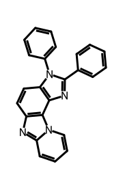 c1ccc(-c2nc3c(ccc4nc5ccccn5c43)n2-c2ccccc2)cc1